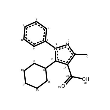 Cc1nn(-c2ccccc2)c(C2CCCCC2)c1C(=O)O